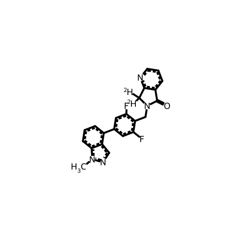 [2H]C1([2H])c2ncccc2C(=O)N1Cc1c(F)cc(-c2cccc3c2cnn3C)cc1F